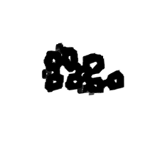 CC1C=CC=C2C(c3ccc4oc5ccc6oc7ccccc7c6c5c4c3)=C3C=CCC=CC3=C(c3cccc(-c4ccccc4)c3)C21